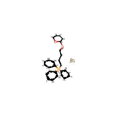 [Br-].c1ccc([P+](CCCCOC2CCCCO2)(c2ccccc2)c2ccccc2)cc1